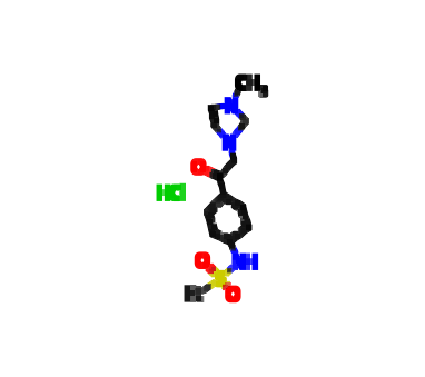 CCS(=O)(=O)Nc1ccc(C(=O)CN2C=CN(C)C2)cc1.Cl